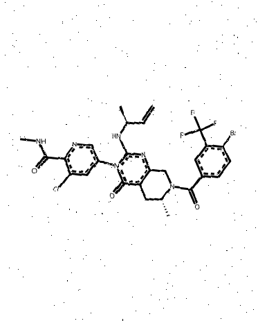 C=C[C@H](C)Nc1nc2c(c(=O)n1-c1cnc(C(=O)NC)c(Cl)c1)C[C@@H](C)N(C(=O)c1ccc(Br)c(C(F)(F)F)c1)C2